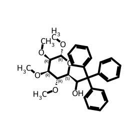 CO[C@@H]1O[C@@H](C(O)C(c2ccccc2)(c2ccccc2)c2ccccc2)[C@H](OC)[C@@H](OC)[C@H]1OC